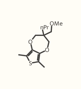 CCCC1(COC)COc2c(C)sc(C)c2OC1